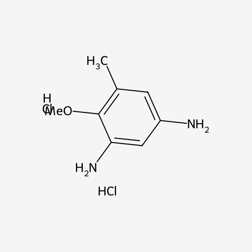 COc1c(C)cc(N)cc1N.Cl.Cl